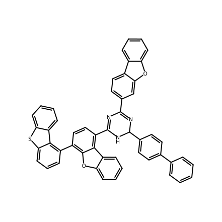 c1ccc(-c2ccc(C3N=C(c4ccc5c(c4)oc4ccccc45)N=C(c4ccc(-c5cccc6sc7ccccc7c56)c5oc6ccccc6c45)N3)cc2)cc1